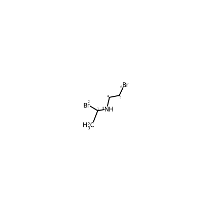 CC(Br)NCCBr